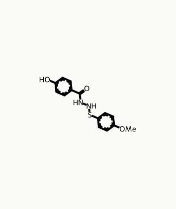 COc1ccc(SNNC(=O)c2ccc(O)cc2)cc1